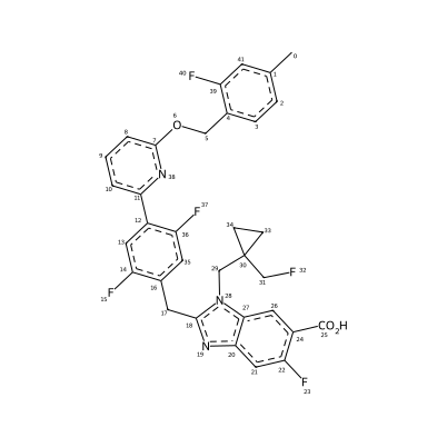 Cc1ccc(COc2cccc(-c3cc(F)c(Cc4nc5cc(F)c(C(=O)O)cc5n4CC4(CF)CC4)cc3F)n2)c(F)c1